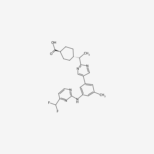 Cc1cc(Nc2nccc(C(F)F)n2)cc(-c2cnc(C(C)[C@H]3CC[C@H](C(=O)O)CC3)nc2)c1